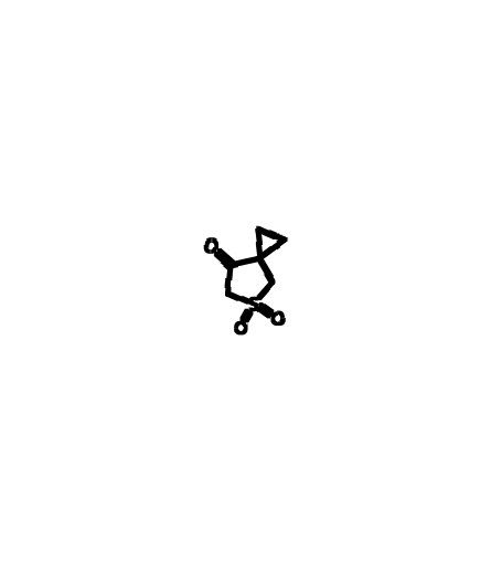 O=C1CS(=O)(=O)CC12CC2